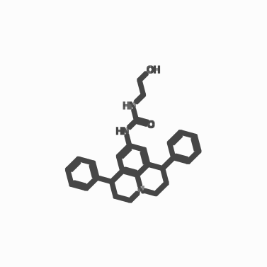 O=C(NCCO)Nc1cc2c3c(c1)C(c1ccccc1)CCN3CCC2c1ccccc1